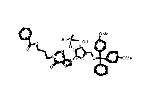 COc1ccc(C(OC[C@H]2O[C@@H](n3cnc4c(=O)n(CCCOC(=O)c5ccccc5)cnc43)[C@H](O[Si](C)(C)C(C)(C)C)[C@@H]2O)(c2ccccc2)c2ccc(OC)cc2)cc1